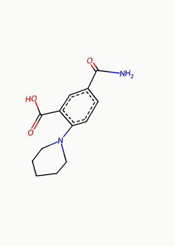 NC(=O)c1ccc(N2CCCCC2)c(C(=O)O)c1